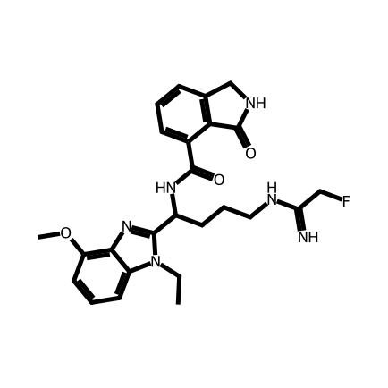 CCn1c(C(CCCNC(=N)CF)NC(=O)c2cccc3c2C(=O)NC3)nc2c(OC)cccc21